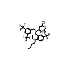 CCCCN(CC)c1ccc(C(F)(F)F)cc1CN(Cc1cc(C(F)(F)F)cc(C(F)(F)F)c1)c1cc(Cl)ncn1